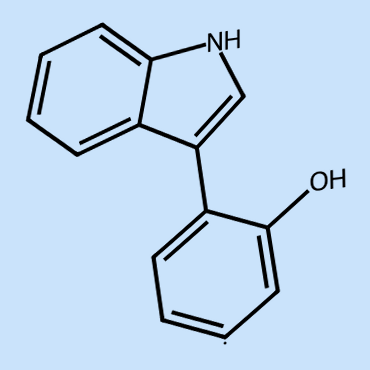 Oc1c[c]ccc1-c1c[nH]c2ccccc12